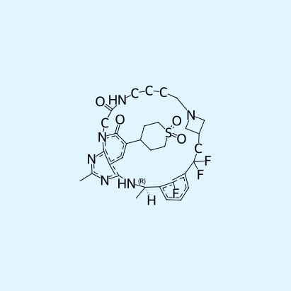 Cc1nc2c3cc(C4CCS(=O)(=O)CC4)c(=O)n(c3n1)CC(=O)NCCCCN1CC(C1)CC(F)(F)c1cccc(c1F)[C@@H](C)N2